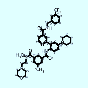 Cc1cc(C(=O)Nc2ccc(N3CCCCC3)cc2-c2cc(C(=O)NCc3cccc(C(F)(F)F)c3)ccn2)cc(C(=O)N(C)CCN2CCOCC2)c1